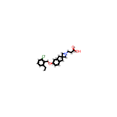 CCc1cccc(Cl)c1COc1ccc2c(c1)CC1(C2)CN(CCC(=O)O)C1